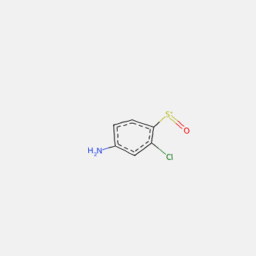 Nc1ccc([S+]=O)c(Cl)c1